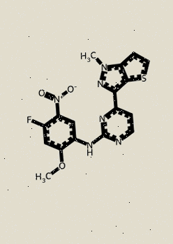 COc1cc(F)c([N+](=O)[O-])cc1Nc1nccc(-c2nn(C)c3ccsc23)n1